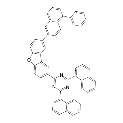 c1ccc(-c2cccc3cc(-c4ccc5oc6ccc(-c7nc(-c8cccc9ccccc89)nc(-c8cccc9ccccc89)n7)cc6c5c4)ccc23)cc1